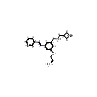 C=CCOc1cc(/C=C/c2cccnc2)cc(CNCC2CNC2)c1